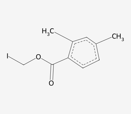 Cc1ccc(C(=O)OCI)c(C)c1